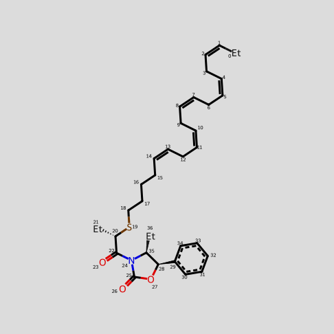 CC/C=C\C/C=C\C/C=C\C/C=C\C/C=C\CCCCS[C@@H](CC)C(=O)N1C(=O)O[C@H](c2ccccc2)[C@@H]1CC